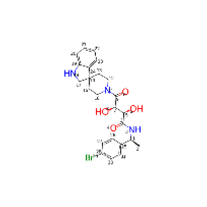 C[C@H](NC(=O)[C@H](O)[C@@H](O)C(=O)N1CCC2(CC1)CNc1ccccc12)c1ccc(Br)cc1